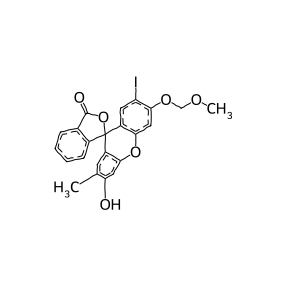 COCOc1cc2c(cc1I)C1(OC(=O)c3ccccc31)c1cc(C)c(O)cc1O2